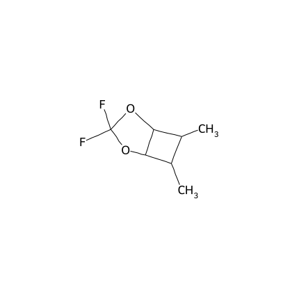 CC1C(C)C2OC(F)(F)OC12